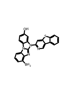 Bc1cccc2c1nc1n(-c3cc4sc5ccccc5c4cn3)c3cc(O)ccc3n21